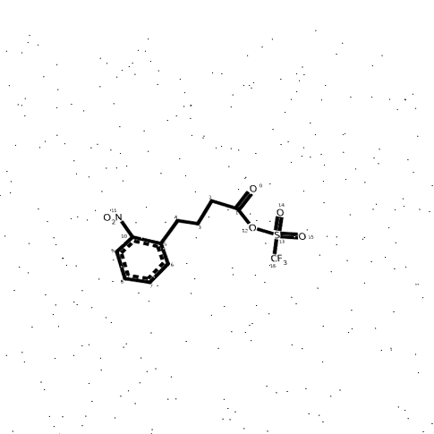 O=C(CCCc1ccccc1[N+](=O)[O-])OS(=O)(=O)C(F)(F)F